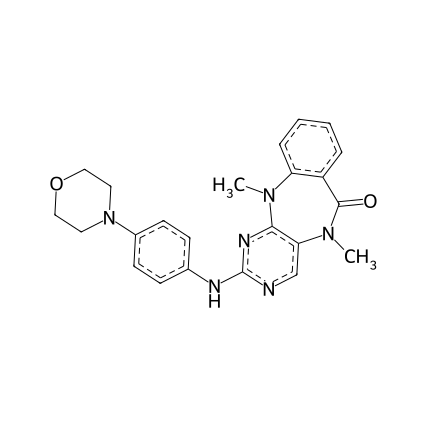 CN1C(=O)c2ccccc2N(C)c2nc(Nc3ccc(N4CCOCC4)cc3)ncc21